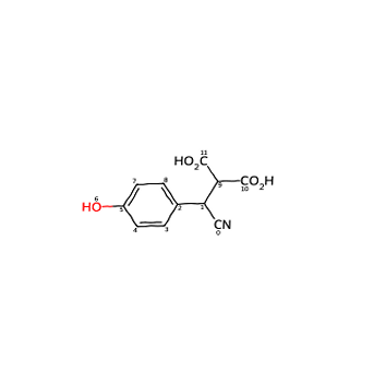 N#CC(c1ccc(O)cc1)C(C(=O)O)C(=O)O